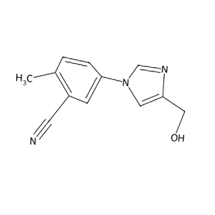 Cc1ccc(-n2cnc(CO)c2)cc1C#N